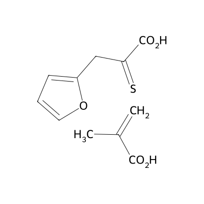 C=C(C)C(=O)O.O=C(O)C(=S)Cc1ccco1